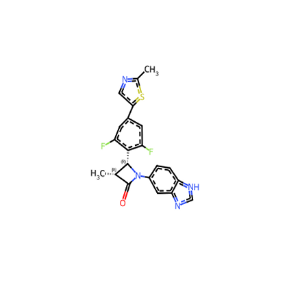 Cc1ncc(-c2cc(F)c([C@H]3[C@@H](C)C(=O)N3c3ccc4[nH]cnc4c3)c(F)c2)s1